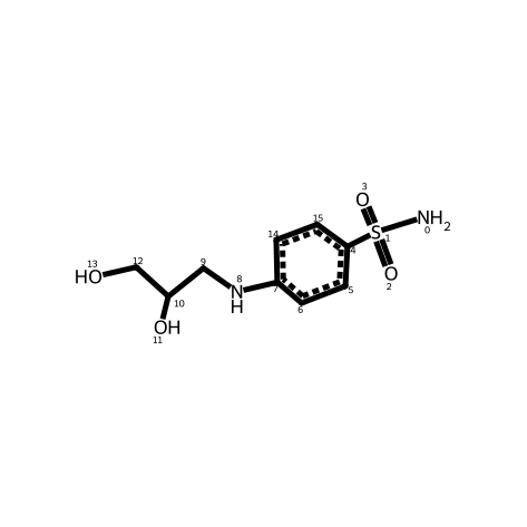 NS(=O)(=O)c1ccc(NCC(O)CO)cc1